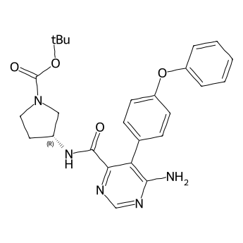 CC(C)(C)OC(=O)N1CC[C@@H](NC(=O)c2ncnc(N)c2-c2ccc(Oc3ccccc3)cc2)C1